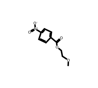 COCCOC(=O)c1ccc([N+](=O)[O-])cc1